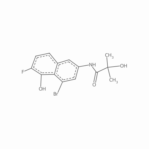 CC(C)(O)C(=O)Nc1cc(Br)c2c(O)c(F)ccc2c1